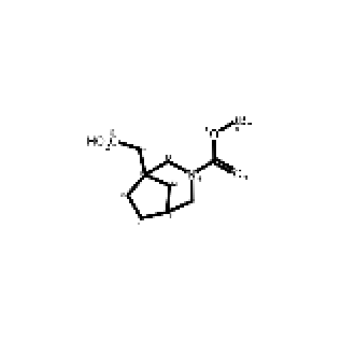 CC(C)(C)OC(=O)N1CC2CCC(CC(=O)O)(C2)C1